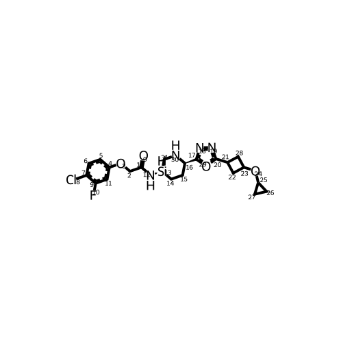 O=C(COc1ccc(Cl)c(F)c1)N[Si@H]1CC[C@H](c2nnc(C3CC(OC4CC4)C3)o2)NC1